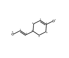 ClC=CC1CC=C(Cl)CC1